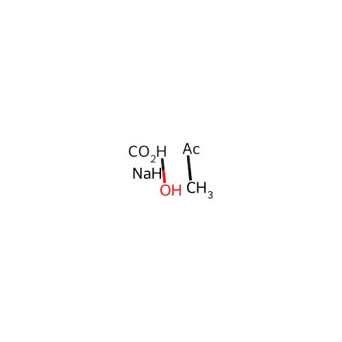 CC(C)=O.O=C(O)O.[NaH]